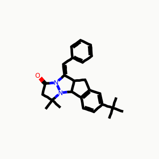 CC(C)(C)c1ccc2c(c1)CC1/C(=C\c3ccccc3)N3C(=O)CC(C)(C)N3C21